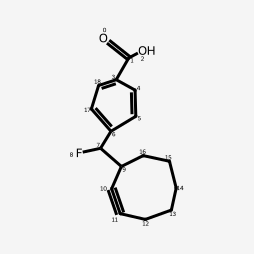 O=C(O)c1ccc(C(F)C2C#CCCCCC2)cc1